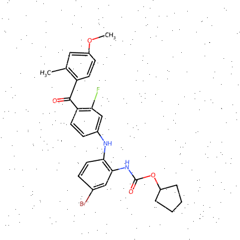 COc1ccc(C(=O)c2ccc(Nc3ccc(Br)cc3NC(=O)OC3CCCC3)cc2F)c(C)c1